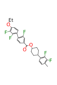 CCOc1ccc(-c2ccc(C(=O)OC3CCC(c4ccc(C)c(F)c4F)CC3)cc2F)c(F)c1F